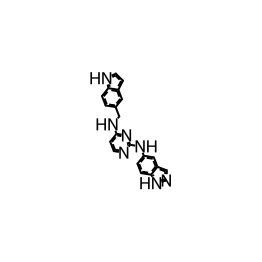 c1cc(NCc2ccc3[nH]ccc3c2)nc(Nc2ccc3[nH]ncc3c2)n1